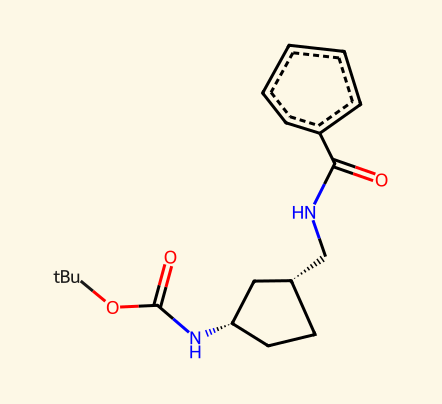 CC(C)(C)OC(=O)N[C@H]1CC[C@@H](CNC(=O)c2ccccc2)C1